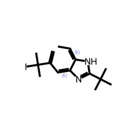 C=C(/C=c1/nc(C(C)(C)C)[nH]/c1=C/C)C(C)(C)I